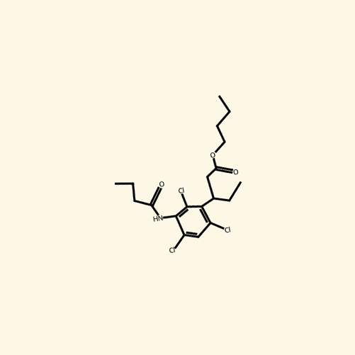 CCCCOC(=O)CC(CC)c1c(Cl)cc(Cl)c(NC(=O)CCC)c1Cl